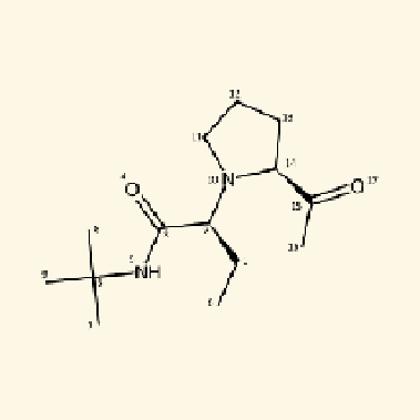 CC[C@@H](C(=O)NC(C)(C)C)N1CCC[C@H]1C(C)=O